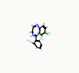 Fc1cccc(F)c1C1=NCC=Nc2ccc(Cl)c(Cl)c21